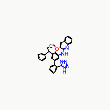 c1ccc(C2CCCOc3c(Nc4ccc5ccccc5n4)cc(-c4ccccc4-c4nnn[nH]4)cc32)cc1